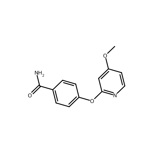 COc1ccnc(Oc2ccc(C(N)=O)cc2)c1